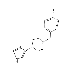 Fc1ccc(CN2CCC(c3c[nH]cn3)CC2)cc1